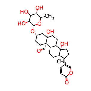 CC1O[C@H](O[C@H]2CC[C@]3(C=O)C4CC[C@]5(C)[C@@H](c6ccc(=O)oc6)CC[C@]5(O)C4CC[C@]3(O)C2)C(O)C(O)[C@@H]1O